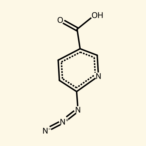 [N-]=[N+]=Nc1ccc(C(=O)O)cn1